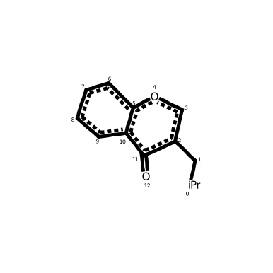 CC(C)Cc1coc2ccccc2c1=O